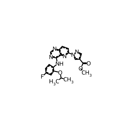 COC(=O)c1cnn(-c2ccc3ncnc(Nc4ccc(F)cc4OC(C)C)c3n2)c1